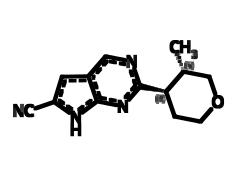 C[C@@H]1COCC[C@H]1c1ncc2cc(C#N)[nH]c2n1